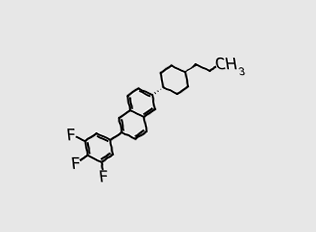 CCC[C@H]1CC[C@H](c2ccc3cc(-c4cc(F)c(F)c(F)c4)ccc3c2)CC1